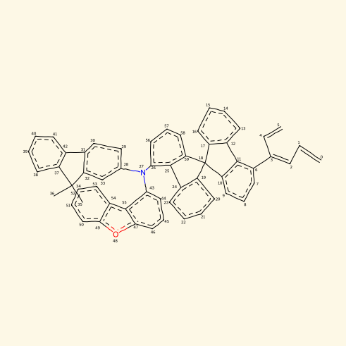 C=C/C=C(\C=C)c1cccc2c1-c1ccccc1C21c2ccccc2-c2c(N(c3ccc4c(c3)C(C)(C)c3ccccc3-4)c3cccc4oc5ccccc5c34)cccc21